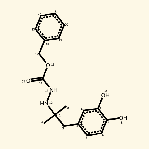 CC(C)(Cc1ccc(O)c(O)c1)NNC(=O)OCc1ccccc1